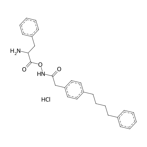 Cl.NC(Cc1ccccc1)C(=O)ONC(=O)Cc1ccc(CCCCc2ccccc2)cc1